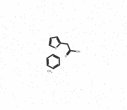 C.O=C(O)Cc1cccs1.c1ccccc1